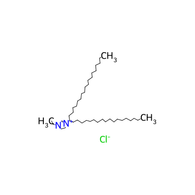 CCCCCCCCCCCCCCCCCCC(CCCCCCCCCCCCCCCCCC)[N+]1=CN(CC)CC1.[Cl-]